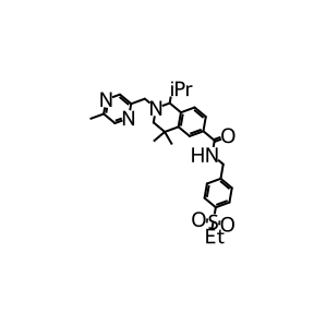 CCS(=O)(=O)c1ccc(CNC(=O)c2ccc3c(c2)C(C)(C)CN(Cc2cnc(C)cn2)C3C(C)C)cc1